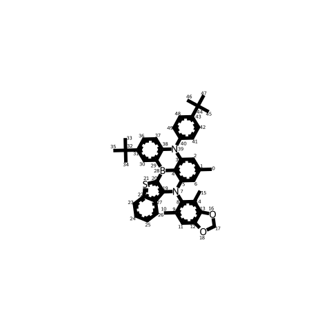 Cc1cc2c3c(c1)N(c1c(C)cc4c(c1C)OCO4)c1c(sc4ccccc14)B3c1cc(C(C)(C)C)ccc1N2c1ccc(C(C)(C)C)cc1